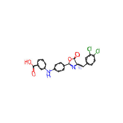 O=C1OC(c2ccc(Nc3cccc(C(=O)O)c3)cc2)=N/C1=C/c1ccc(Cl)c(Cl)c1